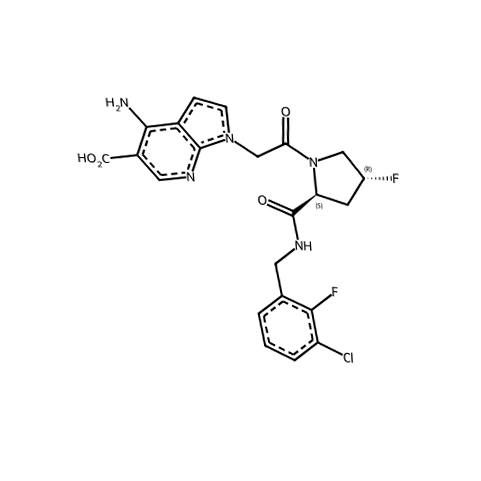 Nc1c(C(=O)O)cnc2c1ccn2CC(=O)N1C[C@H](F)C[C@H]1C(=O)NCc1cccc(Cl)c1F